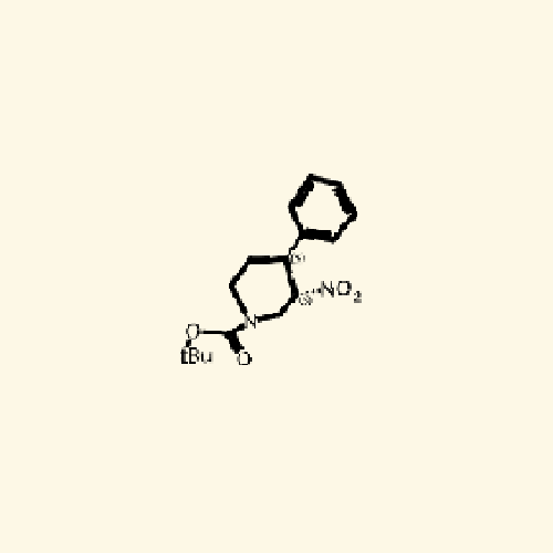 CC(C)(C)OC(=O)N1CC[C@@H](c2ccccc2)[C@H]([N+](=O)[O-])C1